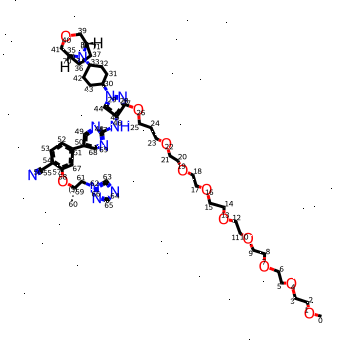 COCCOCCOCCOCCOCCOCCOCCOCCCOc1nn(C2CCC(N3[C@@H]4CC[C@H]3COC4)CC2)cc1Nc1ncc(-c2ccc(C#N)c(O[C@@H](C)Cn3cncn3)c2)cn1